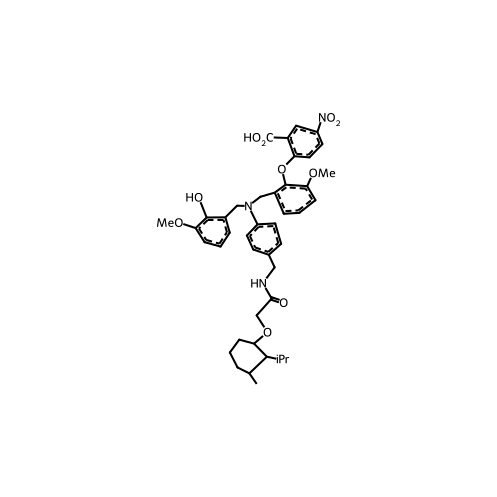 COc1cccc(CN(Cc2cccc(OC)c2Oc2ccc([N+](=O)[O-])cc2C(=O)O)c2ccc(CNC(=O)COC3CCCC(C)C3C(C)C)cc2)c1O